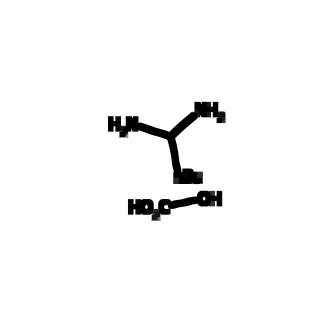 CCCCC(N)N.O=C(O)O